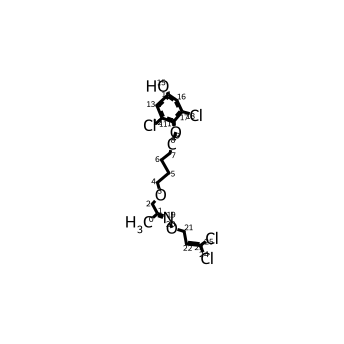 CC(COCCCCCOc1c(Cl)cc(O)cc1Cl)=NOCC=C(Cl)Cl